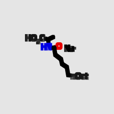 CCCCCCCCCCCCCC(=O)NC(C)C(=O)O.[Na]